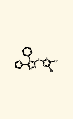 Brc1nc(Sc2nnc(-c3cccs3)n2-c2ccccc2)sc1Br